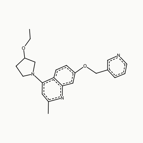 CCOC1CCN(c2cc(C)nc3cc(OCc4cccnc4)ccc23)C1